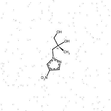 C[C@](O)(CO)Cn1cc([N+](=O)[O-])cn1